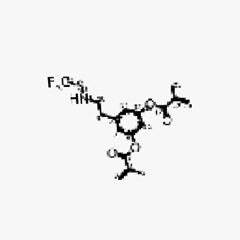 C=C(C)C(=O)Oc1cc(CCNSC(F)(F)F)cc(OC(=O)C(=C)C)c1